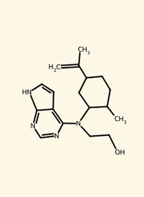 C=C(C)C1CCC(C)C(N(CCO)c2ncnc3[nH]ccc23)C1